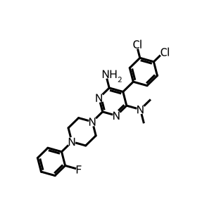 CN(C)c1nc(N2CCN(c3ccccc3F)CC2)nc(N)c1-c1ccc(Cl)c(Cl)c1